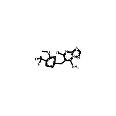 COc1cc(Cc2c(Cl)nc3ncnn3c2N)ccc1C(F)(F)F